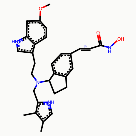 COc1ccc2c(CCN(Cc3[nH]cc(C)c3C)C3CCc4cc(/C=C/C(=O)NO)ccc43)c[nH]c2c1